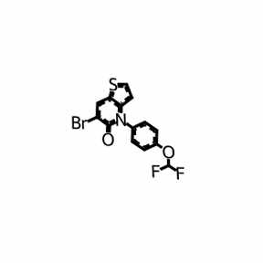 O=c1c(Br)cc2sccc2n1-c1ccc(OC(F)F)cc1